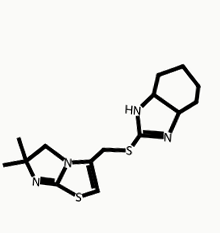 CC1(C)CN2C(CSC3=NC4CCCCC4N3)=CSC2=N1